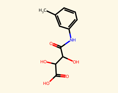 Cc1cccc(NC(=O)C(O)C(O)C(=O)O)c1